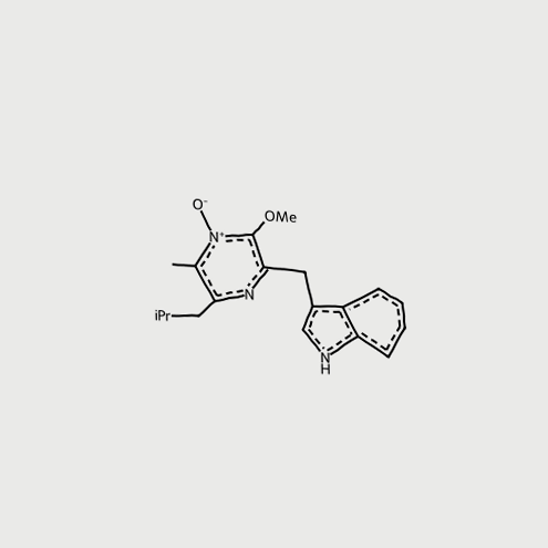 COc1c(Cc2c[nH]c3ccccc23)nc(CC(C)C)c(C)[n+]1[O-]